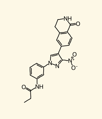 CCC(=O)Nc1cccc(-n2cc(-c3ccc4c(c3)CCNC4=O)c([N+](=O)[O-])n2)c1